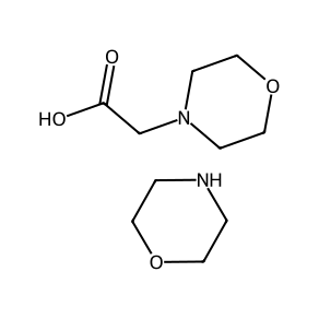 C1COCCN1.O=C(O)CN1CCOCC1